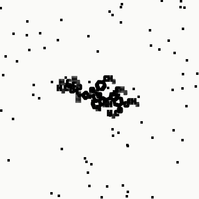 COc1cc2c(-c3cc4c(C(N5CC(NC(=O)OC(C)(C)C)C5)S(=O)(=O)c5ccc(C)cc5)ccnc4[nH]3)cn(C)c2cc1OC